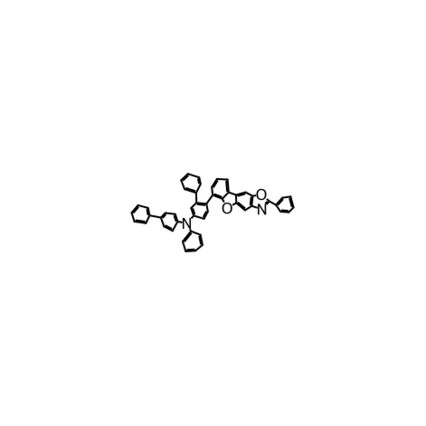 c1ccc(-c2ccc(N(c3ccccc3)c3ccc(-c4cccc5c4oc4cc6nc(-c7ccccc7)oc6cc45)c(-c4ccccc4)c3)cc2)cc1